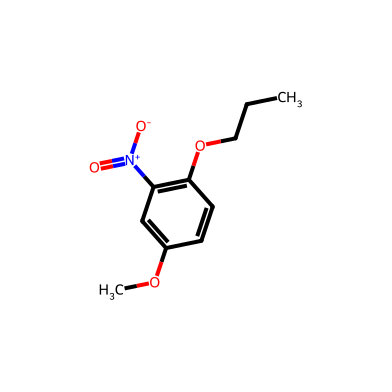 CCCOc1ccc(OC)cc1[N+](=O)[O-]